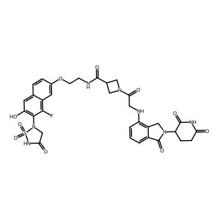 O=C1CCC(N2Cc3c(NCC(=O)N4CC(C(=O)NCCOc5ccc6cc(O)c(N7CC(=O)NS7(=O)=O)c(F)c6c5)C4)cccc3C2=O)C(=O)N1